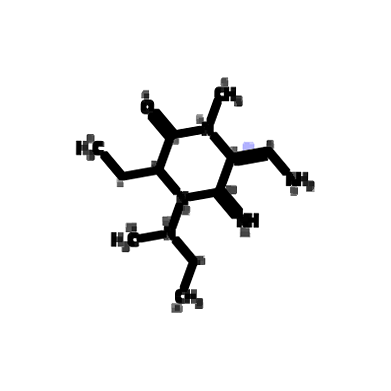 CCC1C(=O)N(C)/C(=C/N)C(=N)N1N(C)CC